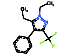 CCc1c(-c2ccccc2)c(C(F)(F)F)nn1CC